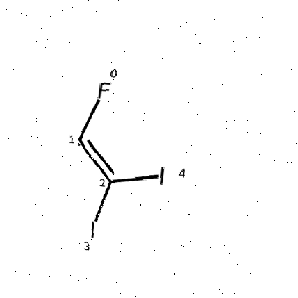 F[C]=C(I)I